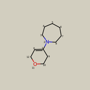 C1=C(N2CCCCCC2)CCOC1